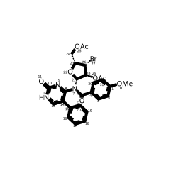 COc1ccc(C(=O)N(c2nc(=O)[nH]cc2-c2ccccc2)[C@@H]2O[C@H](COC(C)=O)[C@H](Br)[C@H]2OC(C)=O)cc1